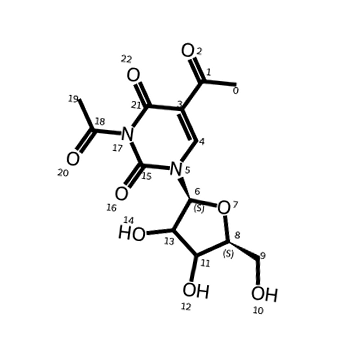 CC(=O)c1cn([C@H]2O[C@@H](CO)C(O)C2O)c(=O)n(C(C)=O)c1=O